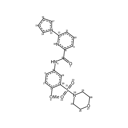 COc1ccc(NC(=O)c2cccc(-n3cccc3)n2)cc1S(=O)(=O)N1CCOCC1